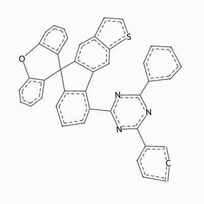 c1ccc(-c2nc(-c3ccccc3)nc(-c3cccc4c3-c3cc5sccc5cc3C43c4ccccc4Oc4ccccc43)n2)cc1